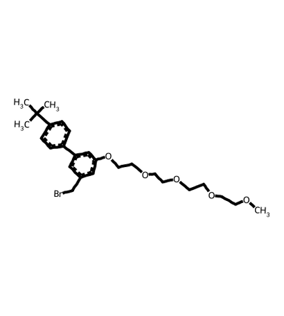 COCCOCCOCCOCCOc1cc(CBr)cc(-c2ccc(C(C)(C)C)cc2)c1